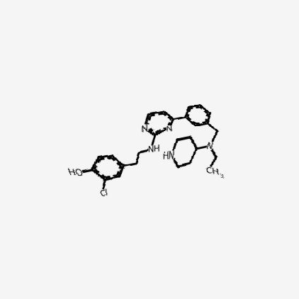 CCN(Cc1cccc(-c2ccnc(NCCc3ccc(O)c(Cl)c3)n2)c1)C1CCNCC1